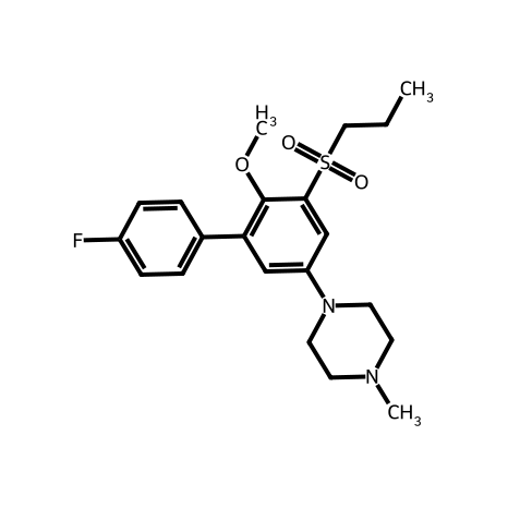 CCCS(=O)(=O)c1cc(N2CCN(C)CC2)cc(-c2ccc(F)cc2)c1OC